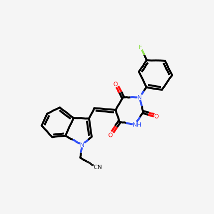 N#CCn1cc(/C=C2\C(=O)NC(=O)N(c3cccc(F)c3)C2=O)c2ccccc21